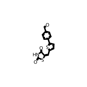 O=Cc1ccc(-c2ccc(C=C3SC(=O)NC3=O)s2)cc1